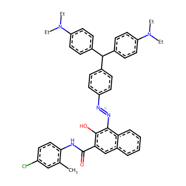 CCN(CC)c1ccc(C(c2ccc(/N=N/c3c(O)c(C(=O)Nc4ccc(Cl)cc4C)cc4ccccc34)cc2)c2ccc(N(CC)CC)cc2)cc1